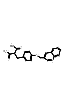 CC(=O)C(Cc1ccc(OCc2cnc3ccccc3c2)cc1)C(=O)O